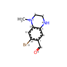 CN1CCNc2cc(C=O)c(Br)cc21